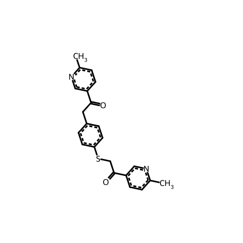 Cc1ccc(C(=O)CSc2ccc(CC(=O)c3ccc(C)nc3)cc2)cn1